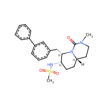 CN1CC[C@@H]2CC[C@H](NS(C)(=O)=O)[C@H](Cc3cccc(-c4ccccc4)c3)N2C1=O